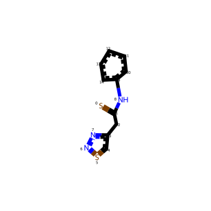 S=C(Cc1csnn1)Nc1ccccc1